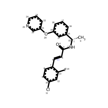 C[C@H](NC(=O)/C=C/c1ccc(Cl)cc1F)c1cccc(Oc2cccnc2)c1